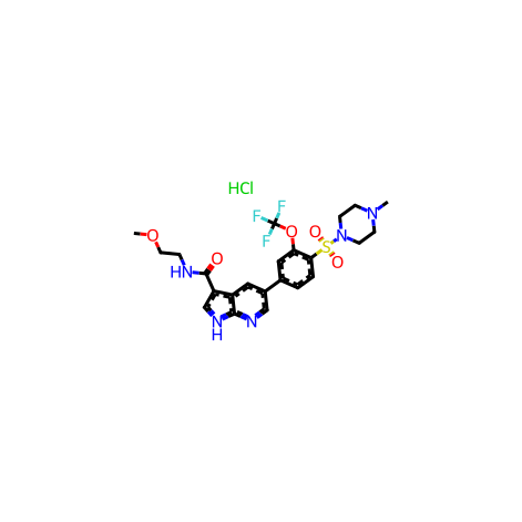 COCCNC(=O)c1c[nH]c2ncc(-c3ccc(S(=O)(=O)N4CCN(C)CC4)c(OC(F)(F)F)c3)cc12.Cl